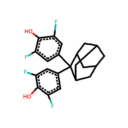 Oc1c(F)cc(C2(c3cc(F)c(O)c(F)c3)C3CC4CC(C3)CC2C4)cc1F